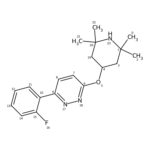 CC1(C)CC(Oc2ccc(-c3cc[c]cc3F)nn2)CC(C)(C)N1